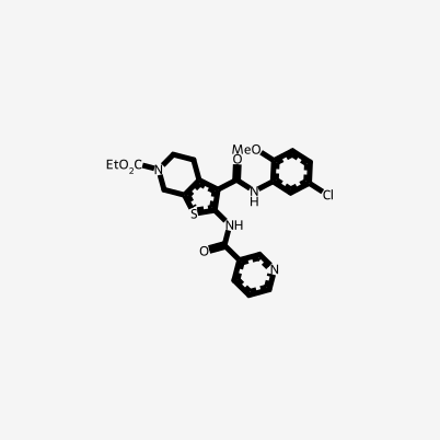 CCOC(=O)N1CCc2c(sc(NC(=O)c3cccnc3)c2C(=O)Nc2cc(Cl)ccc2OC)C1